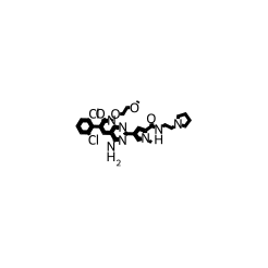 COCCOn1c(=O)c(-c2c(Cl)cccc2Cl)cc2c(N)nc(-c3cc(C(=O)NCCN4CCCC4)n(C)c3)nc21